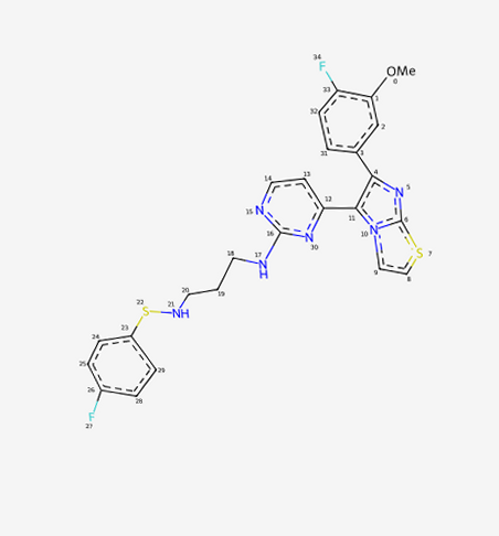 COc1cc(-c2nc3sccn3c2-c2ccnc(NCCCNSc3ccc(F)cc3)n2)ccc1F